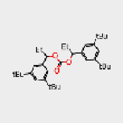 CCC(OC(=O)OC(CC)c1cc(C(C)(C)C)cc(C(C)(C)C)c1)c1cc(C(C)(C)C)cc(C(C)(C)C)c1